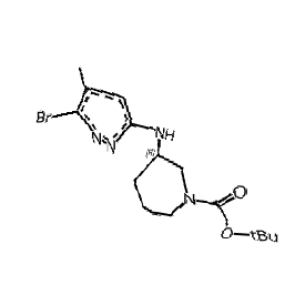 Cc1cc(N[C@@H]2CCCN(C(=O)OC(C)(C)C)C2)nnc1Br